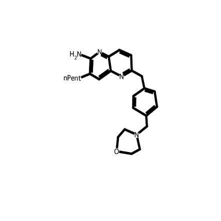 CCCCCc1cc2nc(Cc3ccc(CN4CCOCC4)cc3)ccc2nc1N